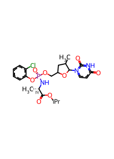 CC(C)OC(=O)[C@H](C)NP(=O)(OCC1CC(C)C(n2ccc(=O)[nH]c2=O)O1)Oc1ccccc1Cl